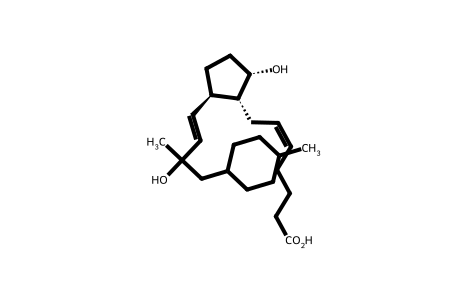 CC1CCC(CC(C)(O)/C=C/[C@H]2CC[C@H](O)[C@@H]2C/C=C\CCCC(=O)O)CC1